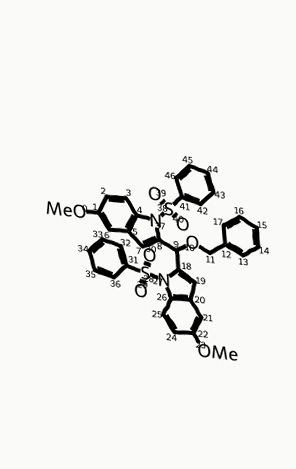 COc1ccc2c(c1)cc(C(OCc1ccccc1)c1cc3cc(OC)ccc3n1S(=O)(=O)c1ccccc1)n2S(=O)(=O)c1ccccc1